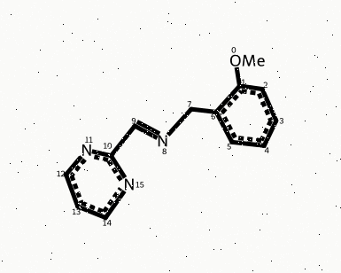 COc1ccccc1CN=Cc1ncccn1